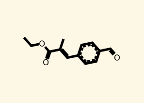 CCOC(=O)/C(C)=C/c1ccc(C=O)cc1